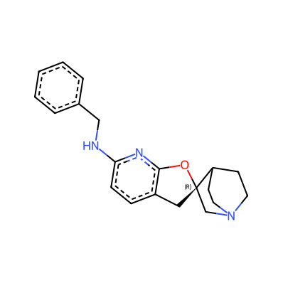 c1ccc(CNc2ccc3c(n2)O[C@@]2(C3)CN3CCC2CC3)cc1